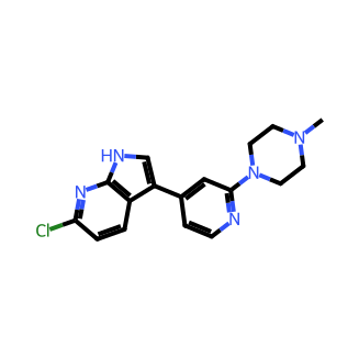 CN1CCN(c2cc(-c3c[nH]c4nc(Cl)ccc34)ccn2)CC1